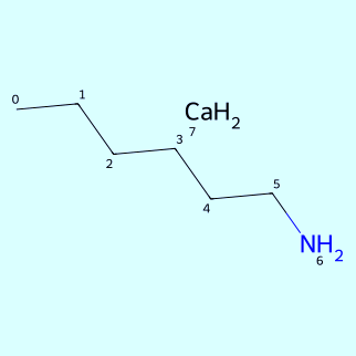 CCCCCCN.[CaH2]